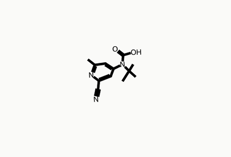 Cc1cc(N(C(=O)O)C(C)(C)C)cc(C#N)n1